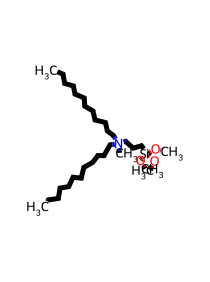 CCCCCCCCCCCC[N+](C)(CCCCCCCCCCCC)CCC[Si](OC)(OC)OC